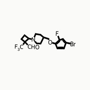 O=CC1(C(F)(F)F)CCC1N1CCC(COc2ccc(Br)cc2F)CC1